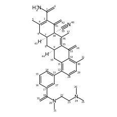 C=C(N)C1=C(C)C[C@@H]2C[C@@H]3Cc4c(-c5cccc(C(=C)N(C)CCN(C)C)c5)ccc(C)c4C(=C)C3=C(C)[C@]2(C#N)C1=C